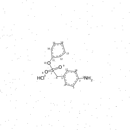 Cl.Nc1ccc(CS(=O)(=O)Oc2ccccc2)cc1